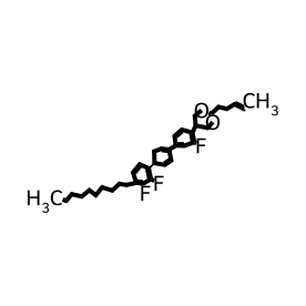 C/C=C/CCC1OCC(c2ccc(C3=CC[C@H](c4ccc(CCCCCCCCCC)c(F)c4F)C=C3)cc2F)CO1